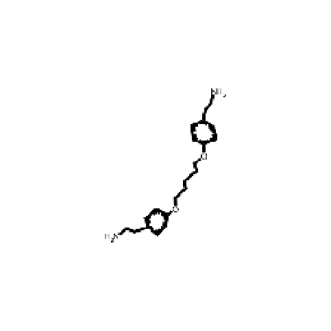 NCCc1ccc(OCCCCCOc2ccc(CCN)cc2)cc1